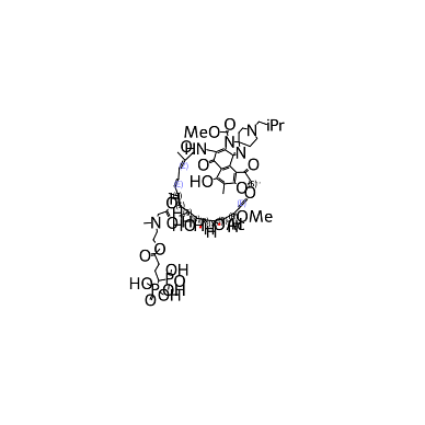 COC(=O)N1C2=C3NC(=O)/C(C)=C\C=C\[C@H](C)[C@H](OC(=O)CN(C)CCOC(=O)CCC(P(=O)(O)O)P(=O)(O)O)[C@@H](C)[C@@H](O)[C@@H](C)[C@H](OC(C)=O)[C@H](C)[C@@H](OC)/C=C/O[C@@]4(C)Oc5c(C)c(O)c(c(c5C4=O)C2=NC12CCN(CC(C)C)CC2)C3=O